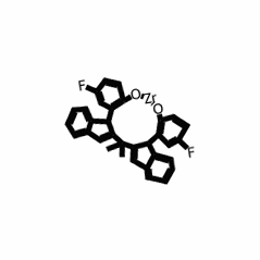 CC1(C)C2=Cc3ccccc3C2c2cc(F)ccc2[O][Zr][O]c2ccc(F)cc2C2C1=Cc1ccccc12